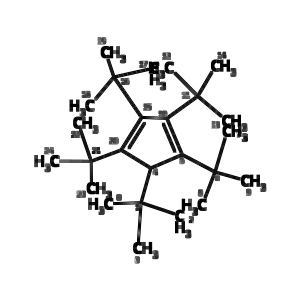 CC(C)(C)[C]1C(C(C)(C)C)=C(C(C)(C)C)C(C(C)(C)C)=C1C(C)(C)C